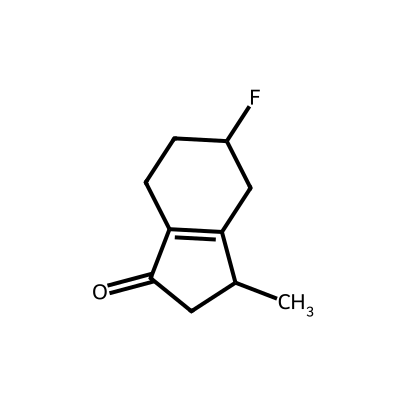 CC1CC(=O)C2=C1CC(F)CC2